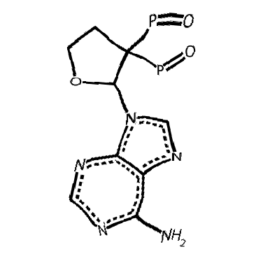 Nc1ncnc2c1ncn2C1OCCC1(P=O)P=O